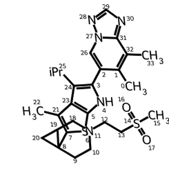 Cc1c(-c2[nH]c3sc(C45CCN(CCS(C)(=O)=O)CC4C5)c(C)c3c2C(C)C)cn2ncnc2c1C